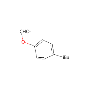 C[C]C(C)c1ccc(O[C]=O)cc1